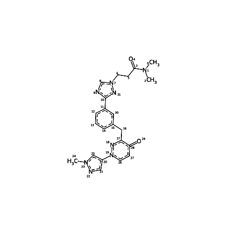 CN(C)C(=O)CCn1cnc(-c2cccc(Cc3nn(-c4cnn(C)c4)ccc3=O)c2)n1